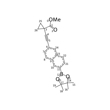 COC(=O)C1(C#Cc2ccc3cc(B4OC(C)(C)C(C)(C)O4)ccc3c2)CC1